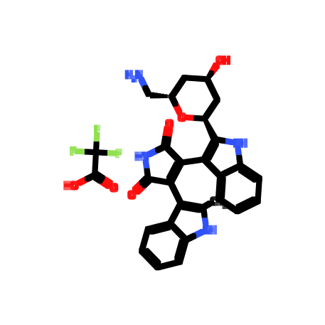 Cc1[nH]c2ccccc2c1C1=C(c2c([C@@H]3C[C@H](O)C[C@@H](CN)O3)[nH]c3ccccc23)C(=O)NC1=O.O=C(O)C(F)(F)F